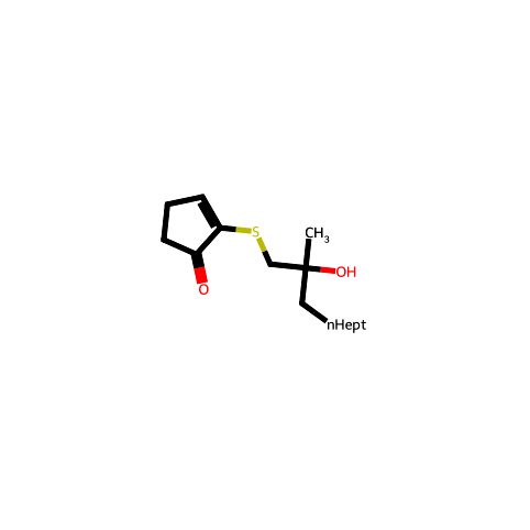 CCCCCCCCC(C)(O)CSC1=CCCC1=O